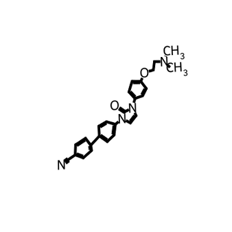 CN(C)CCOc1ccc(-n2ccn(-c3ccc(-c4ccc(C#N)cc4)cc3)c2=O)cc1